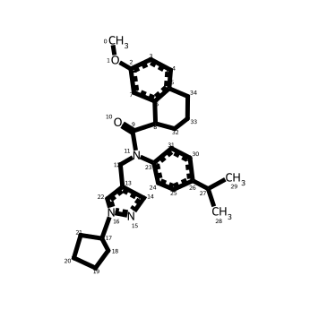 COc1ccc2c(c1)C(C(=O)N(Cc1cnn(C3CCCC3)c1)c1ccc(C(C)C)cc1)CCC2